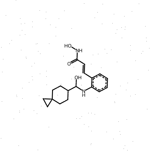 O=C(/C=C/c1ccccc1NC(O)C1CCC2(CC1)CC2)NO